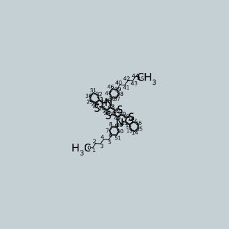 CCCCCCc1ccc(-n2c3c4ccccc4sc3c3sc4c(sc5c6sc7ccccc7c6n(-c6ccc(CCCCCC)cc6)c54)c32)cc1